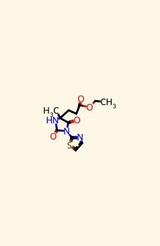 CCOC(=O)CCC1(C)NC(=O)N(c2nccs2)C1=O